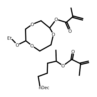 C=C(C)C(=O)OC(C)CCCCCCCCCCCCC.C=C(C)C(=O)OC1COCC(OCC)OCCO1